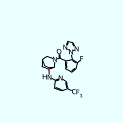 O=C(c1cccc(F)c1-n1nccn1)N1CC2CCC1C(Nc1ccc(C(F)(F)F)cn1)C2